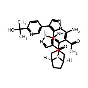 CC(=O)c1c(C2C[C@H]3CC[C@@H](C2)N3C(=O)c2cn[nH]c2N)nc2c(-c3ccc(C(C)(C)O)nc3)cnn2c1N